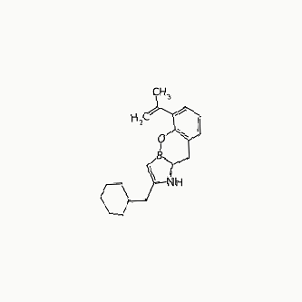 C=C(C)c1cccc2c1OB1C=C(CC3CCCCC3)NC1C2